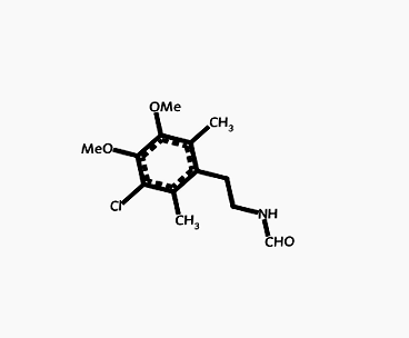 COc1c(C)c(CCNC=O)c(C)c(Cl)c1OC